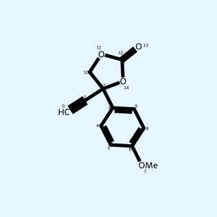 C#CC1(c2ccc(OC)cc2)COC(=O)O1